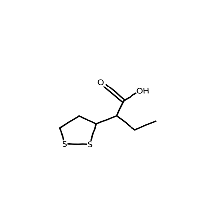 CCC(C(=O)O)C1CCSS1